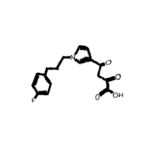 O=C(O)C(=O)CC(=O)c1ccn(CCCc2ccc(F)cc2)c1